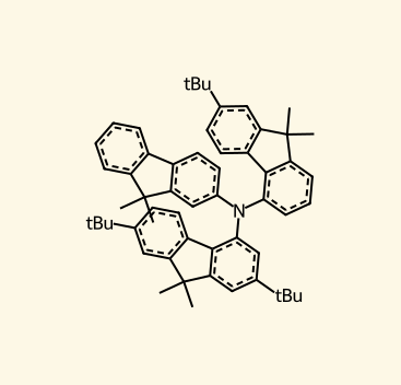 CC(C)(C)c1ccc2c(c1)C(C)(C)c1cccc(N(c3ccc4c(c3)C(C)(C)c3ccccc3-4)c3cc(C(C)(C)C)cc4c3-c3ccc(C(C)(C)C)cc3C4(C)C)c1-2